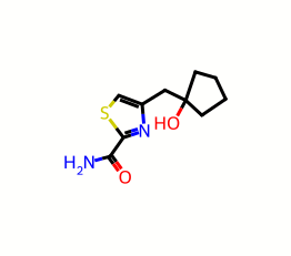 NC(=O)c1nc(CC2(O)CCCC2)cs1